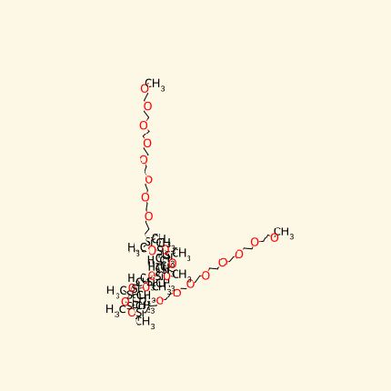 COCCOCCOCCOCCOCCOCCOCCOCCC[Si](C)(C)O[Si](C)(C)O[Si](C)(C)O[Si](C)(C)O[Si](C)(C)O[Si](C)(C)O[Si](C)(C)O[Si](C)(C)O[Si](C)(C)O[Si](C)(C)CCCOCCOCCOCCOCCOCCOCCOCCOC